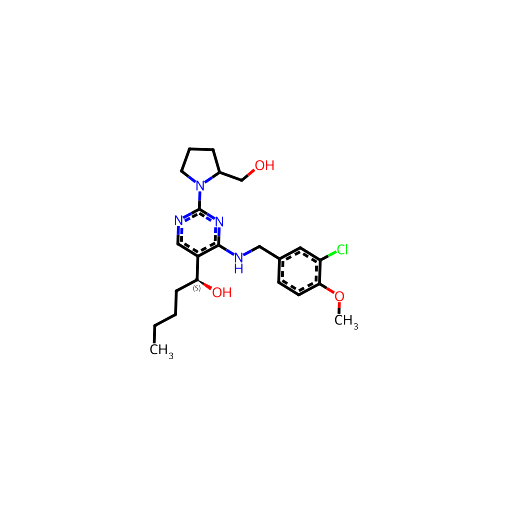 CCCC[C@H](O)c1cnc(N2CCCC2CO)nc1NCc1ccc(OC)c(Cl)c1